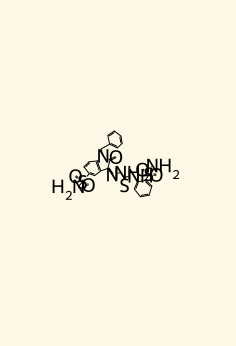 NS(=O)(=O)c1ccc2c(c1)C(=NNC(=S)Nc1ccccc1S(N)(=O)=O)C(=O)N2Cc1ccccc1